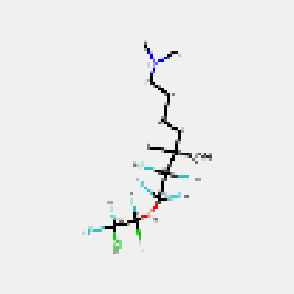 COC(C)(CCCCN(C)C)C(F)(F)C(F)(F)OC(F)(Cl)C(F)(F)Cl